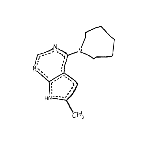 Cc1cc2c(N3CCCCC3)ncnc2[nH]1